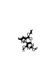 CCOC(=O)c1cc(C)nn1-c1cnc(OC)nc1OC